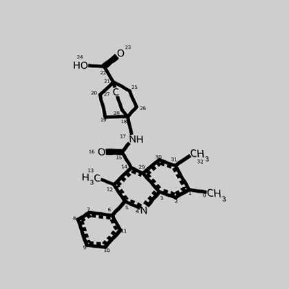 Cc1cc2nc(-c3ccccc3)c(C)c(C(=O)NC34CCC(C(=O)O)(CC3)CC4)c2cc1C